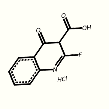 Cl.O=C(O)C1C(=O)c2ccccc2N=C1F